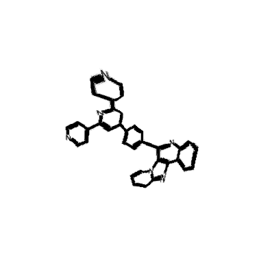 c1ccc2c(c1)nc(-c1ccc(-c3cc(-c4ccncc4)nc(-c4ccncc4)c3)cc1)c1c2nc2ccccn21